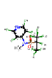 CN(c1c(F)c(F)nc(F)c1F)S(=O)(=O)C(F)(C(F)(F)F)C(F)(F)F